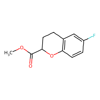 COC(=O)C1CCc2cc(F)ccc2O1